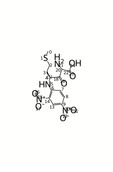 CSCC[C@H](Nc1ccc([N+](=O)[O-])cc1[N+](=O)[O-])C(=O)C(N)C(=O)O